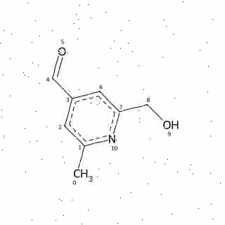 Cc1cc(C=O)cc(CO)n1